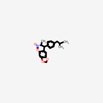 CC(C)Cc1ccc(C(c2ccc3c(c2)OCO3)C(C)[N+](=O)[O-])cc1